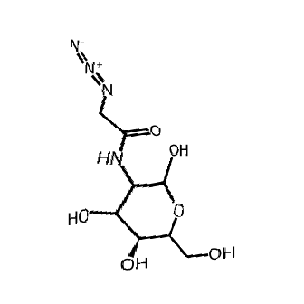 [N-]=[N+]=NCC(=O)NC1C(O)OC(CO)[C@@H](O)C1O